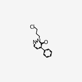 O=c1c(-c2ccccc2)ccnn1CCCCl